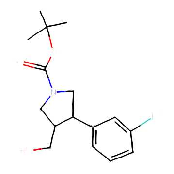 CC(C)(C)OC(=O)N1CC(CO)C(c2cccc(F)c2)C1